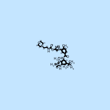 COc1c(NC(=O)c2ccc(C)c(-n3cc(OC(=O)NCCN4CCOCC4)nn3)c2)cc(C(C)(C)C)cc1NS(C)(=O)=O